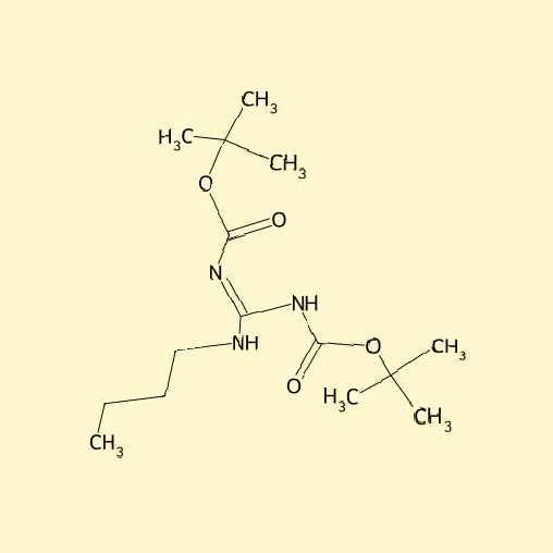 CCCCNC(=NC(=O)OC(C)(C)C)NC(=O)OC(C)(C)C